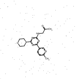 CC(=O)CNc1nc(-c2ccc(C)nc2)nc(N2CCOCC2)n1